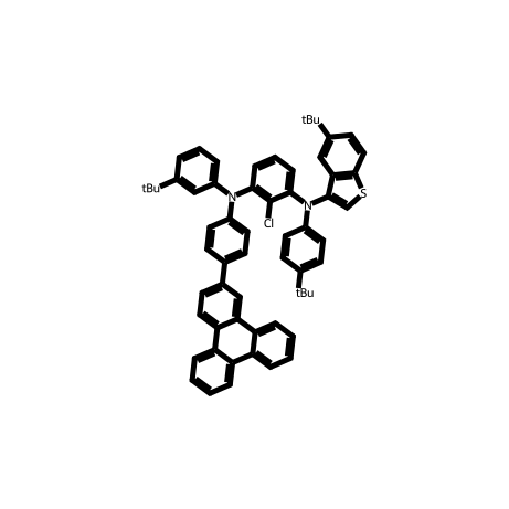 CC(C)(C)c1ccc(N(c2cccc(N(c3ccc(-c4ccc5c6ccccc6c6ccccc6c5c4)cc3)c3cccc(C(C)(C)C)c3)c2Cl)c2csc3ccc(C(C)(C)C)cc23)cc1